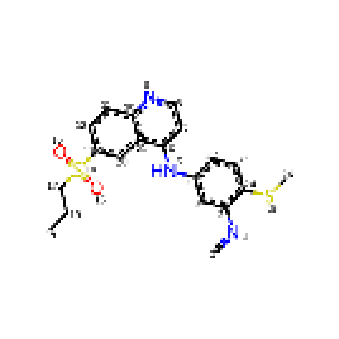 C=Nc1cc(Nc2ccnc3ccc(S(=O)(=O)CCC)cc23)ccc1SC